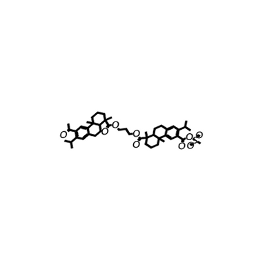 CC(=O)c1cc2c(cc1C(C)C)CCC1C(C)(C(=O)OCCCOC(=O)C3(C)CCCC4(C)c5cc(C(=O)OS(C)(=O)=O)c(C(C)C)cc5CCC34)CCCC21C